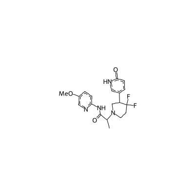 COc1ccc(NC(=O)C(C)N2CCC(F)(F)C(c3ccc(=O)[nH]c3)C2)nc1